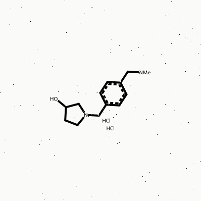 CNCc1ccc(CN2CCC(O)C2)cc1.Cl.Cl